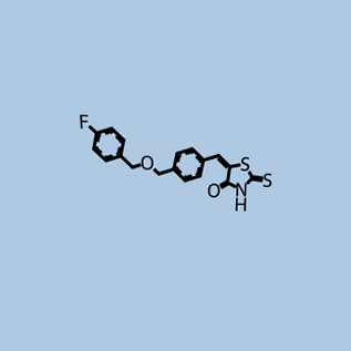 O=C1NC(=S)SC1=Cc1ccc(COCc2ccc(F)cc2)cc1